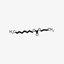 [CH2]CCCOC(=O)OCCCCCCCC